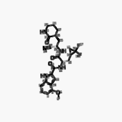 COc1cccc2[nH]c(C(=O)N[C@@H](CC3CC3(F)F)C(=O)N[C@H](C#N)C[C@@H]3CCCNC3=O)cc12